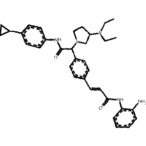 CCN(CC)C1CCN(C(C(=O)Nc2ccc(C3CC3)cc2)c2ccc(/C=C/C(=O)Nc3ccccc3N)cc2)C1